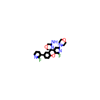 NC1=N[C@@]2(COC1)c1cc(-c3cccnc3F)ccc1Oc1c2cc(N2CCOCC2)nc1F